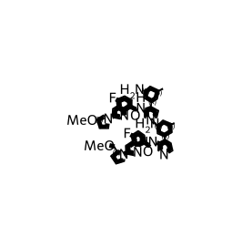 COC[C@@H]1CCCN1c1cnc2c(C(=O)Nc3cnccc3[C@@H]3C[C@H](C)C[C@H](N)C3)ccc(F)c2c1.CO[C@@H]1CCN(c2cnc3c(C(=O)Nc4cnccc4[C@@H]4C[C@H](C)C[C@H](N)C4)ccc(F)c3c2)C1